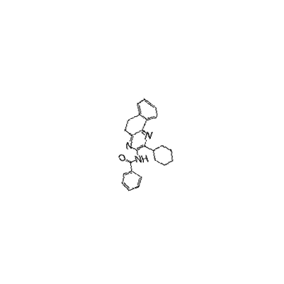 O=C(Nc1nc2c(nc1C1CCCCC1)-c1ccccc1CC2)c1ccccc1